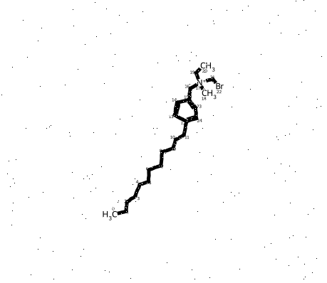 CCCCCCCCCCCCc1ccc(C[N+](C)(CC)CBr)cc1